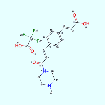 CN1CCN(C(=O)C=Cc2ccc(C=CC(=O)O)cc2)CC1.O=C(O)C(F)(F)F